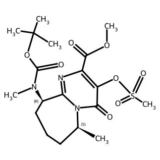 COC(=O)c1nc2n(c(=O)c1OS(C)(=O)=O)[C@@H](C)CCC[C@H]2N(C)C(=O)OC(C)(C)C